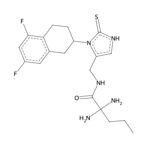 CCCC(N)(N)C(=O)NCc1c[nH]c(=S)n1C1CCc2c(F)cc(F)cc2C1